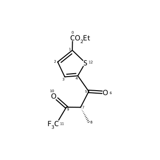 CCOC(=O)c1ccc(C(=O)[C@H](C)C(=O)C(F)(F)F)s1